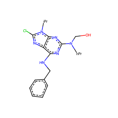 CCCN(CO)c1nc(NCc2ccccc2)c2nc(Cl)n(C(C)C)c2n1